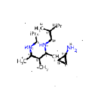 CC(C)CNC(C)C(C)C(C)NCC(C)C(C)C.NC1CC1